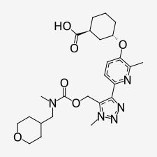 Cc1nc(-c2nnn(C)c2COC(=O)N(C)CC2CCOCC2)ccc1O[C@H]1CCC[C@H](C(=O)O)C1